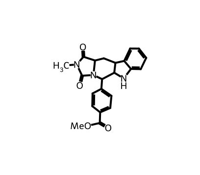 COC(=O)c1ccc(C2C3Nc4ccccc4C3CC3C(=O)N(C)C(=O)N32)cc1